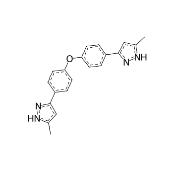 Cc1cc(-c2ccc(Oc3ccc(-c4cc(C)[nH]n4)cc3)cc2)n[nH]1